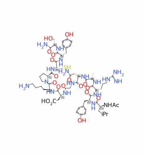 CC(=O)N[C@@H](CC(C)C)C(=O)N[C@@H](Cc1ccc(O)cc1)C(=O)N[C@@H](CCCNC(=N)N)C(=O)N[C@@H](C)C(=O)N[C@@H](CC(N)=O)C(=O)NCC(=O)N[C@@H](CC(=O)O)C(=O)N[C@@H](CCCCN)C(=O)N1CCC[C@H]1C(=O)N[C@@H](CS)C(=O)N[C@@H](Cc1ccc(O)cc1)C(=O)N[C@@H](CO)C(N)=O